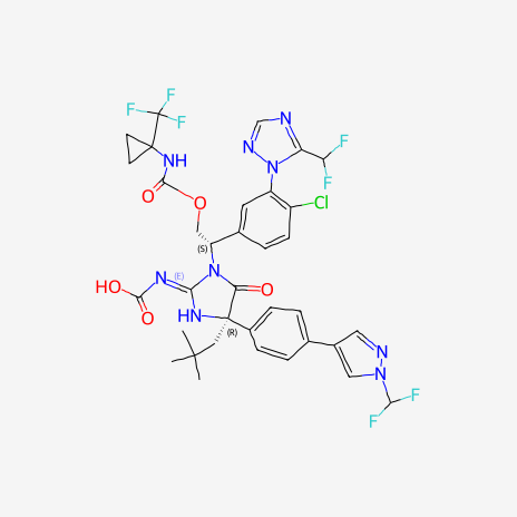 CC(C)(C)C[C@]1(c2ccc(-c3cnn(C(F)F)c3)cc2)N/C(=N\C(=O)O)N([C@H](COC(=O)NC2(C(F)(F)F)CC2)c2ccc(Cl)c(-n3ncnc3C(F)F)c2)C1=O